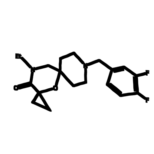 CCN1CC2(CCN(Cc3ccc(F)c(F)c3)CC2)OC2(CC2)C1=O